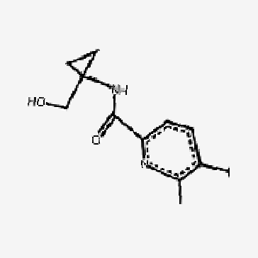 Cc1nc(C(=O)NC2(CO)CC2)ccc1I